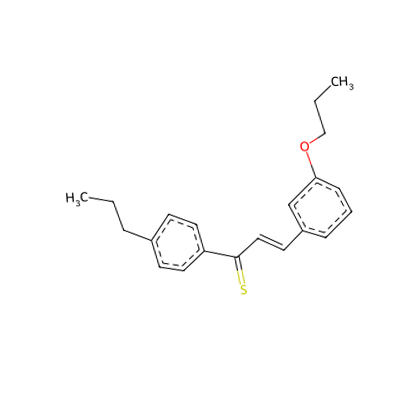 CCCOc1cccc(C=CC(=S)c2ccc(CCC)cc2)c1